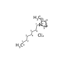 CCCCCCCC[n+]1cscc1C.[Cl-]